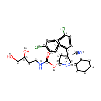 N#C[C@]1(c2ccc(Cl)cc2)[C@H](C2CCCCC2)N[C@H](OC(=O)NCC[C@H](O)CO)[C@@H]1c1cccc(Cl)c1